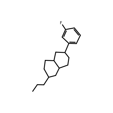 CCCC1CCC2CC(c3cccc(F)c3)CCC2C1